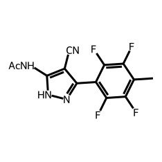 CC(=O)Nc1[nH]nc(-c2c(F)c(F)c(C)c(F)c2F)c1C#N